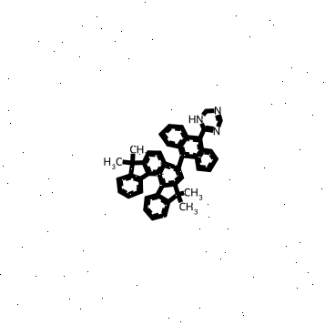 CC1(C)c2ccccc2-c2c1ccc1c(-c3c4ccccc4c(C4=NC=NCN4)c4ccccc34)cc3c(c21)-c1ccccc1C3(C)C